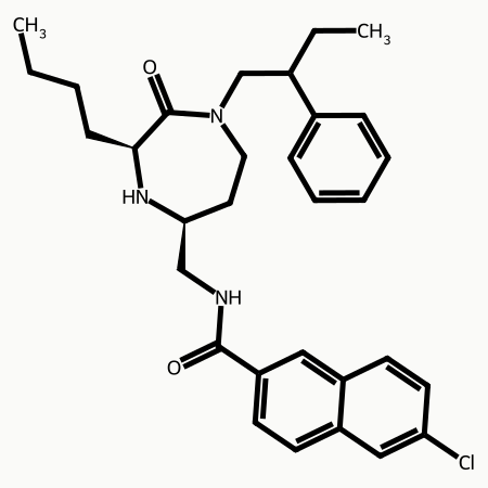 CCCC[C@@H]1N[C@H](CNC(=O)c2ccc3cc(Cl)ccc3c2)CCN(CC(CC)c2ccccc2)C1=O